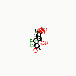 CC1=C[C@@]2(C)C(=C(F)C1=O)[C@@H](F)C[C@H]1[C@@H]3C[C@H]4OC(C)(C)O[C@@]4(C(O)=S)[C@@]3(C)C[C@H](O)[C@@]12F